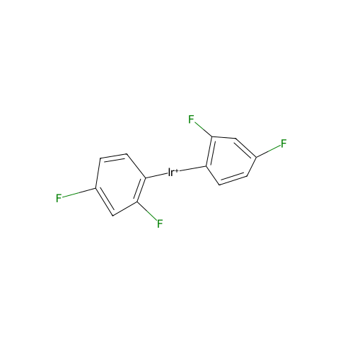 Fc1cc[c]([Ir+][c]2ccc(F)cc2F)c(F)c1